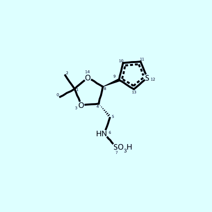 CC1(C)O[C@@H](CNS(=O)(=O)O)[C@H](c2ccsc2)O1